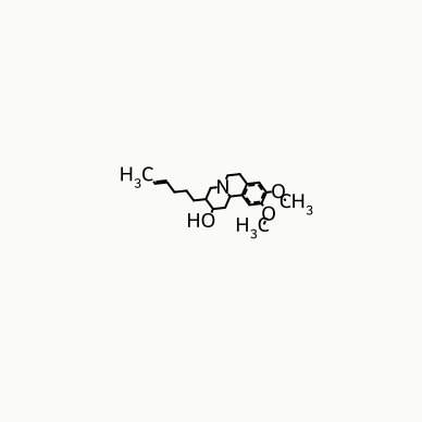 C/C=C/CCCC1CN2CCc3cc(OC)c(OC)cc3C2CC1O